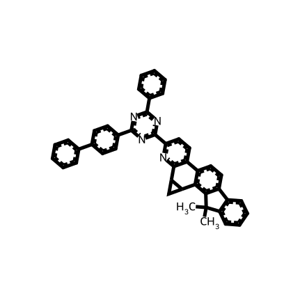 CC1(C)c2ccccc2-c2ccc3c(c21)C1CC1c1nc(-c2nc(-c4ccccc4)nc(-c4ccc(-c5ccccc5)cc4)n2)ccc1-3